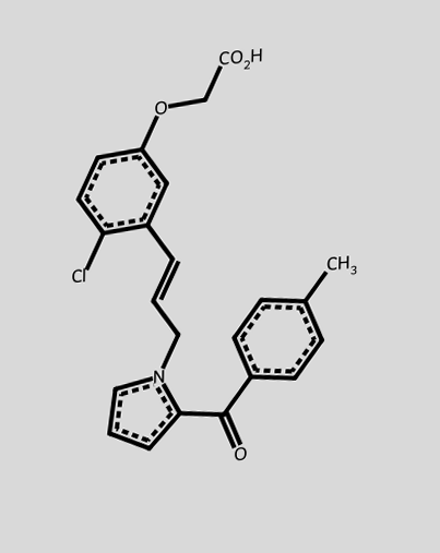 Cc1ccc(C(=O)c2cccn2CC=Cc2cc(OCC(=O)O)ccc2Cl)cc1